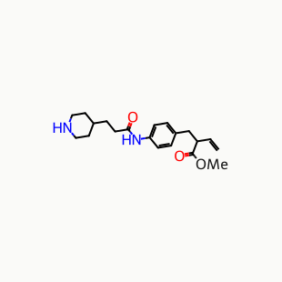 C=CC(Cc1ccc(NC(=O)CCC2CCNCC2)cc1)C(=O)OC